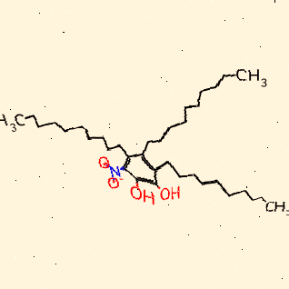 CCCCCCCCCCc1c(O)c(O)c([N+](=O)[O-])c(CCCCCCCCCC)c1CCCCCCCCCC